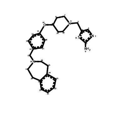 Nc1ncc(CN2CCC(Oc3ccc(CN4CCc5ccccc5CC4)cc3)CC2)s1